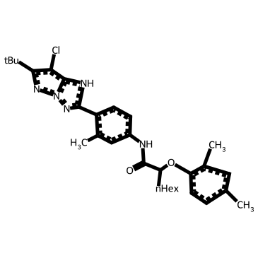 CCCCCCC(Oc1ccc(C)cc1C)C(=O)Nc1ccc(-c2nn3nc(C(C)(C)C)c(Cl)c3[nH]2)c(C)c1